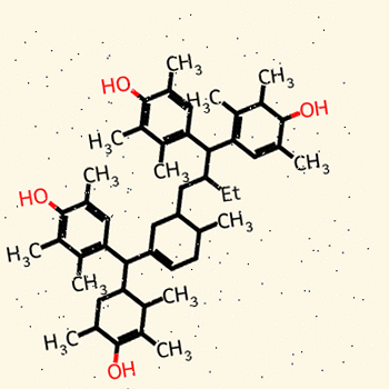 CCC(CC1CC(C(c2cc(C)c(O)c(C)c2C)C2CC(C)C(O)=C(C)C2C)=CCC1C)C(C1=C(C)C(C)C(O)C(C)=C1)c1cc(C)c(O)c(C)c1C